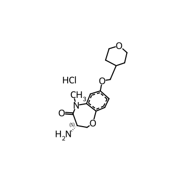 CN1C(=O)[C@@H](N)COc2ccc(OCC3CCOCC3)cc21.Cl